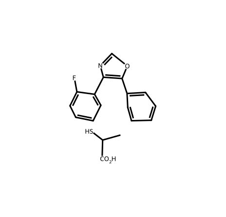 CC(S)C(=O)O.Fc1ccccc1-c1ncoc1-c1ccccc1